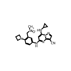 C[S+]([O-])Cc1cc(Nc2cc(NC3CC3)n3ncc(C#N)c3n2)ccc1N1CCC1